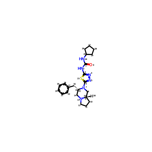 O=C(Nc1nnc(N2C[C@@H]3CCCN3C[C@@H]2Cc2ccccc2)s1)NC1CCCC1